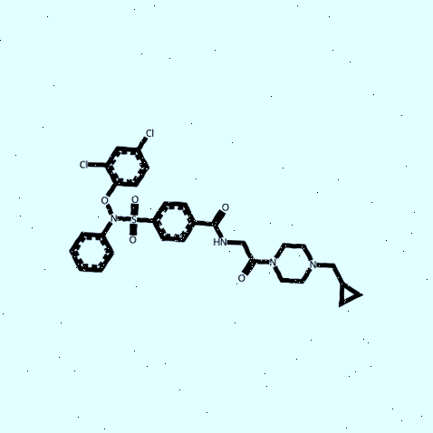 O=C(NCC(=O)N1CCN(CC2CC2)CC1)c1ccc(S(=O)(=O)N(Oc2ccc(Cl)cc2Cl)c2ccccc2)cc1